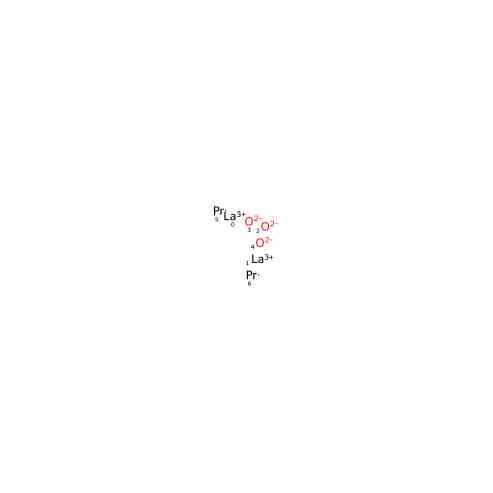 [La+3].[La+3].[O-2].[O-2].[O-2].[Pr].[Pr]